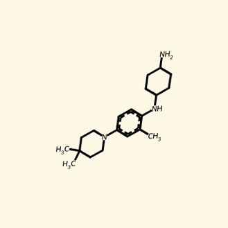 Cc1cc(N2CCC(C)(C)CC2)ccc1NC1CCC(N)CC1